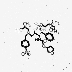 CC(C)CN(Cc1ccc([N+](=O)[O-])cc1)C[C@@H](OP(=O)(O)OCC[N+](C)(C)C)[C@H](Cc1ccccc1)NC(=O)O[C@H]1CCOC1